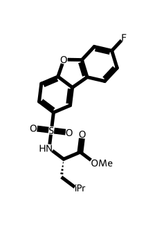 COC(=O)[C@H](CC(C)C)NS(=O)(=O)c1ccc2oc3cc(F)ccc3c2c1